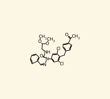 COC(CNC(=O)N(/N=C\c1ccccc1)c1cc(Cl)c(Cc2ccc(C(C)=O)cc2)c(Cl)c1)OC